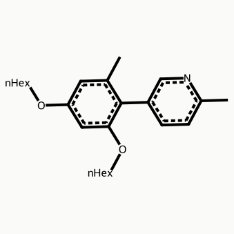 CCCCCCOc1cc(C)c(-c2ccc(C)nc2)c(OCCCCCC)c1